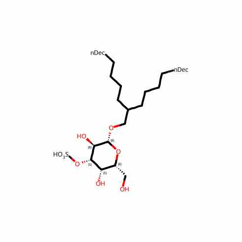 CCCCCCCCCCCCCCC(CCCCCCCCCCCCCC)CO[C@@H]1O[C@H](CO)[C@H](O)[C@H](OS(=O)(=O)O)[C@H]1O